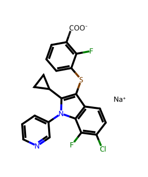 O=C([O-])c1cccc(Sc2c(C3CC3)n(-c3cccnc3)c3c(F)c(Cl)ccc23)c1F.[Na+]